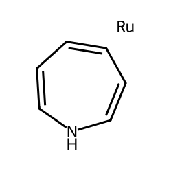 C1=CC=CNC=C1.[Ru]